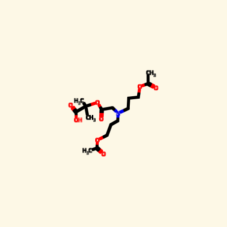 CC(=O)OCCCN(CCCOC(C)=O)CC(=O)OC(C)(C)C(=O)O